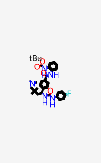 CN(C)CC(C)(C)CC(NC(=O)Nc1ccc(F)cc1)c1ccc(C(=O)Nc2ccccc2NC(=O)OC(C)(C)C)cc1